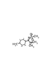 CC1CCC(/C(=N/S(C)(=O)=O)N(C)C)CC1